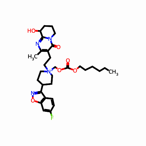 CCCCCCOC(=O)OC[N+]1(CCc2c(C)nc3n(c2=O)CCCC3O)CCC(c2noc3cc(F)ccc23)CC1